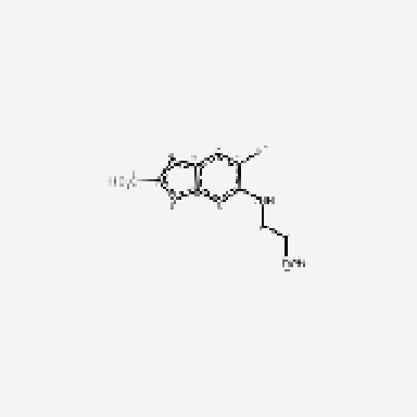 CNCCNc1cc2sc(C(=O)O)cc2cc1F